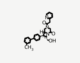 Cc1cccc(-c2ccc([C@@H]3[C@@H](CO)N4C(=O)CN(C(=O)Cc5ccccn5)C[C@@H]34)cc2)c1